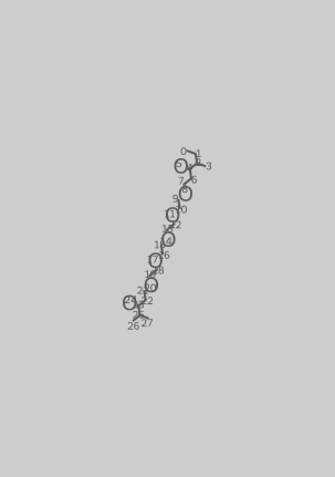 CCC(C)C(=O)CCOCCOCCOCCOCCOCCC(=O)C(C)C